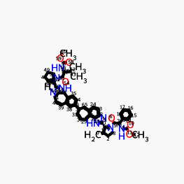 C=C1CCN(C(=O)[C@H](NC(=O)OC)c2ccccc2)[C@@H]1c1nc2ccc3c(c2[nH]1)=CC=CC(c1ccc2c(c1)C=CC1CC2NC(C2[C@H]4CCC(C4)N2C(=O)[C@@H](NC(=O)OC)C(C)C)=N1)C=3